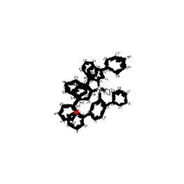 Cl[Si](c1cc(-c2ccccc2)ccc1-c1ccccc1)(c1cc(-c2ccccc2)ccc1-c1ccccc1)c1cc(-c2ccccc2)ccc1-c1ccccc1